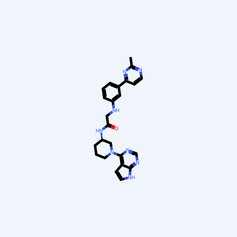 Cc1nccc(-c2cccc(NCC(=O)N[C@@H]3CCCN(c4ncnc5[nH]ccc45)C3)c2)n1